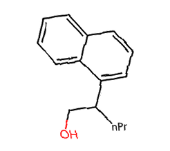 CCCC(CO)c1cccc2ccccc12